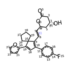 O=C1C[C@H](O)C[C@@H](/C=C/C2=C(c3ccc(F)cc3)C=C(c3ccco3)C23CCCC3)O1